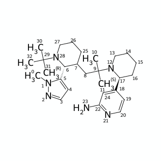 Cn1nccc1[C@H]1C(CC(C)(C)N2CCCC[C@H]2c2ccnc(N)c2)CCCN1C(C)(C)C